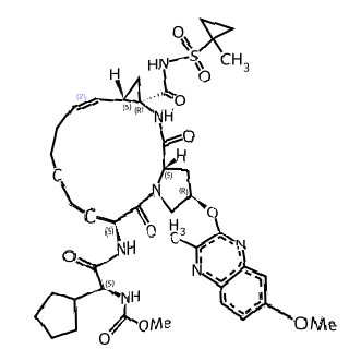 COC(=O)N[C@H](C(=O)N[C@H]1CCCCC/C=C\[C@@H]2C[C@@]2(C(=O)NS(=O)(=O)C2(C)CC2)NC(=O)[C@@H]2C[C@@H](Oc3nc4cc(OC)ccc4nc3C)CN2C1=O)C1CCCC1